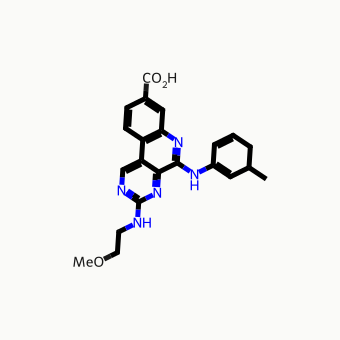 COCCNc1ncc2c(n1)c(NC1=CC(C)CC=C1)nc1cc(C(=O)O)ccc12